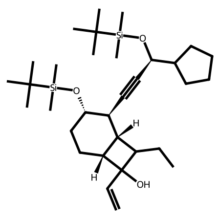 C=CC1(O)C(CC)[C@H]2[C@H](C#C[C@@H](O[Si](C)(C)C(C)(C)C)C3CCCC3)[C@@H](O[Si](C)(C)C(C)(C)C)CC[C@H]21